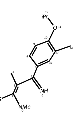 CN/C(SC)=C(/C)C(=N)c1ccc(OC(C)C)c(C)c1